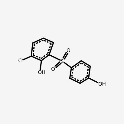 O=S(=O)(c1ccc(O)cc1)c1cccc(Cl)c1O